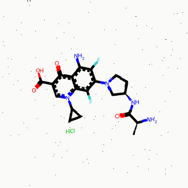 C[C@H](N)C(=O)N[C@@H]1CCN(c2c(F)c(N)c3c(=O)c(C(=O)O)cn(C4CC4)c3c2F)C1.Cl